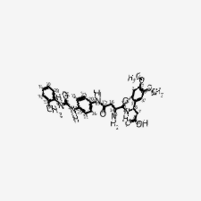 COc1ccc(C(CC(=O)O)NC(=O)C(N)CC(=O)Nc2ccc(NC(=O)Nc3ccccc3C)cc2)cc1OC